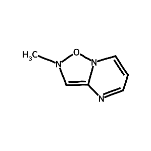 CN1C=C2N=CC=CN2O1